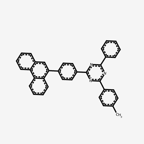 Cc1ccc(-c2nc(-c3ccccc3)nc(-c3ccc(-c4cc5ccccc5c5ccccc45)cc3)n2)cc1